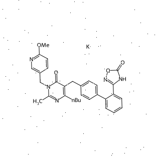 CCCCc1nc(C)n(Cc2ccc(OC)nc2)c(=O)c1Cc1ccc(-c2ccccc2-c2noc(=O)[nH]2)cc1.[K]